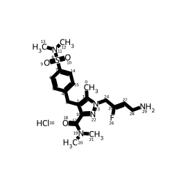 Cc1c(Cc2ccc(S(=O)(=O)N(C)C)cc2)c(C(=O)N(C)C)nn1CC(F)=CCN.Cl